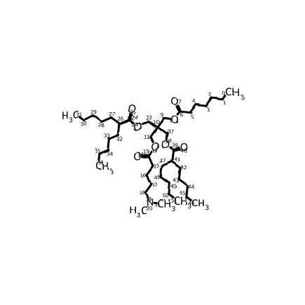 CCCCCCC(=O)OCC(COC(=O)CCCCN(C)C)(COC(=O)C(CCCCC)CCCCC)COC(=O)C(CCCCC)CCCCC